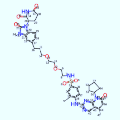 Cc1cc(S(=O)(=O)NCCOCCOCCCc2ccc3c(c2)n(C)c(=O)n3C2CCC(=O)NC2=O)ccc1Nc1ncc2c(C)cc(=O)n(C3CCCC3)c2n1